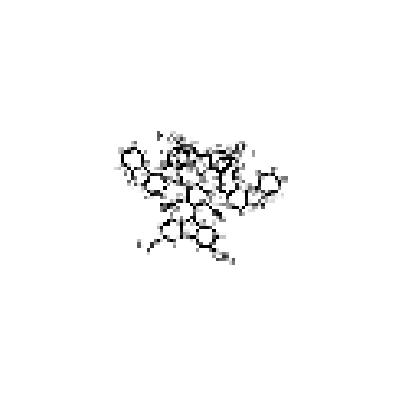 Cc1ccc2c(c1)c1cc(C)ccc1n2-c1c(C#N)c(-n2c3ccccc3c3c4c(ccc32)oc2ccccc24)c(-n2c3ccc(C)cc3c3cc(C)ccc32)c(-n2c3ccccc3c3c4c(ccc32)oc2ccccc24)c1C#N